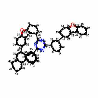 c1ccc(-c2nc(-c3cccc(-c4ccc5oc6ccccc6c5c4)c3)nc(-c3cccc4oc5ccc(-c6cc7ccccc7c7ccccc67)cc5c34)n2)cc1